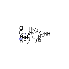 CCC1CCC[C@H](NC(=O)/C=C/c2cc(Cl)ccc2N(N)/C=N\N)c2cc(ccn2)-c2ccc(NC)cc2NC1=O